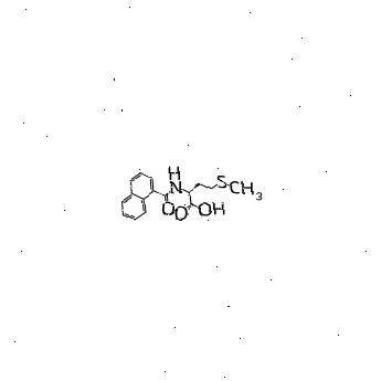 CSCC[C@H](NC(=O)c1cccc2ccccc12)C(=O)O